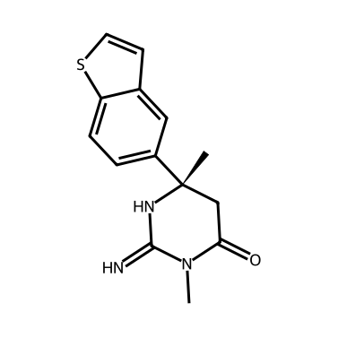 CN1C(=N)N[C@](C)(c2ccc3sccc3c2)CC1=O